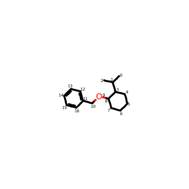 CC(C)C1CCCCC1OCc1ccccc1